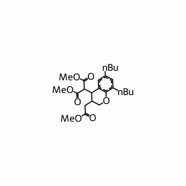 CCCCc1cc(CCCC)c2c(c1)C(C(C(=O)OC)C(=O)OC)C(CC(=O)OC)CO2